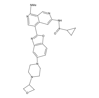 CNc1ncc(-c2nc3cc(N4CCN(C5COC5)CC4)ccc3o2)c2cc(NC(=O)C3CC3)ncc12